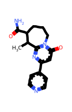 C[C]1c2nc(-c3ccncc3)cc(=O)n2CCCC1C(N)=O